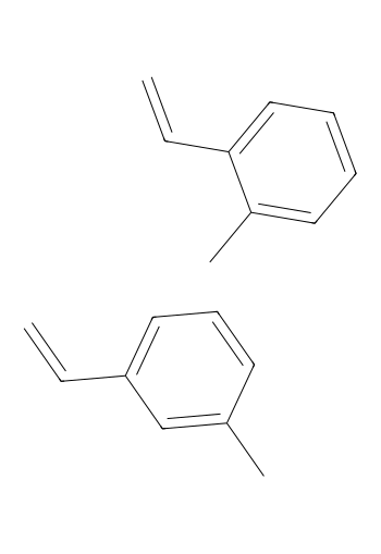 C=Cc1cccc(C)c1.C=Cc1ccccc1C